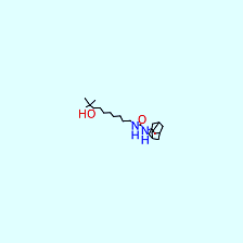 CC(C)(C)C(O)CCCCCCCNC(=O)NC12CC3CC(CC(C3)C1)C2